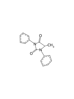 CC1C(=O)N(c2ccccc2)C(=O)N1c1ccccc1